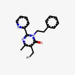 Cc1nc(-c2ccccn2)n(CCc2ccccc2)c(=O)c1CC(C)C